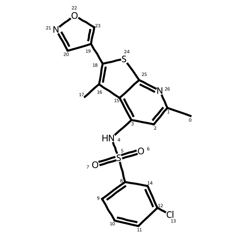 Cc1cc(NS(=O)(=O)c2cccc(Cl)c2)c2c(C)c(-c3cnoc3)sc2n1